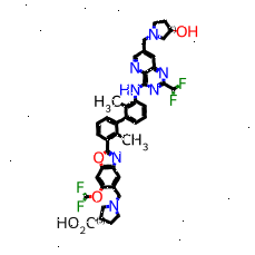 Cc1c(Nc2nc(C(F)F)nc3cc(CN4CC[C@H](O)C4)cnc23)cccc1-c1cccc(-c2nc3cc(CN4CC[C@H](C(=O)O)C4)c(OC(F)F)cc3o2)c1C